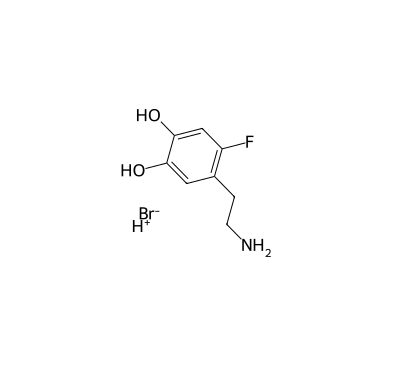 NCCc1cc(O)c(O)cc1F.[Br-].[H+]